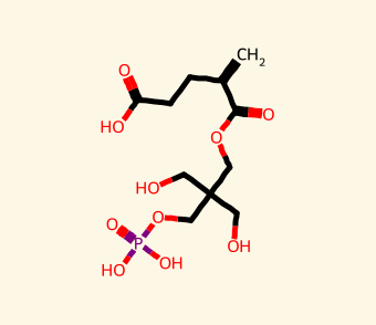 C=C(CCC(=O)O)C(=O)OCC(CO)(CO)COP(=O)(O)O